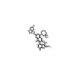 CC1(O)COCCN(c2nc(OC[C@@]34CCCN3C[C@H](F)C4)nc3c(F)c(-c4ccc(F)c5sc(N)c(C#N)c45)c(Cl)cc23)C1